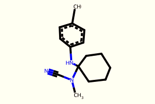 [CH]c1ccc(NC2(N(C)C#N)CCCCC2)cc1